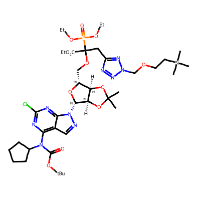 CCOC(=O)C(Cc1nnn(COCC[Si](C)(C)C)n1)(OC[C@H]1O[C@@H](n2ncc3c(N(C(=O)OC(C)(C)C)C4CCCC4)nc(Cl)nc32)[C@@H]2OC(C)(C)O[C@@H]21)P(=O)(OCC)OCC